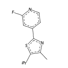 Cc1nc(-c2ccnc(F)c2)sc1C(C)C